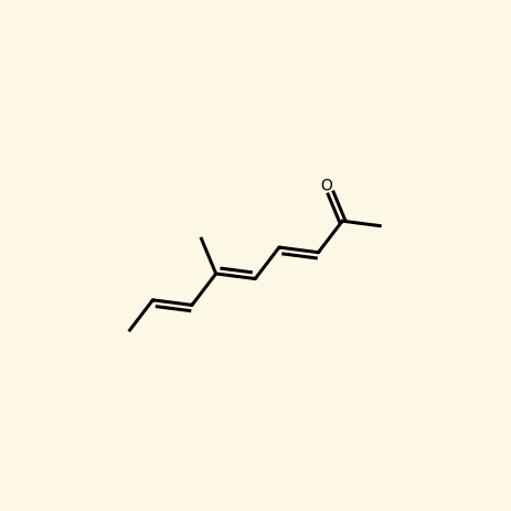 C/C=C/C(C)=C/C=C/C(C)=O